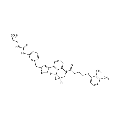 Cc1cccc(OCCCC(=O)N2C[C@H]3C[C@H]3c3c(-c4cnn(Cc5cccc(NC(=O)NCCS(=O)(=O)O)c5)c4)cccc32)c1C